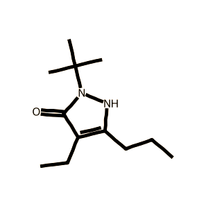 CCCc1[nH]n(C(C)(C)C)c(=O)c1CC